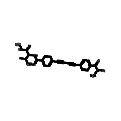 CCN(N)C(=O)c1ccc(C#CC#Cc2ccc(C(=O)NC(C(=O)NO)C(C)O)cc2)cc1